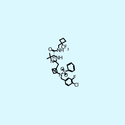 CC1(C)N=C(CC2C3CC2(N(Cc2ccc(Cl)c(F)c2)S(=O)(=O)c2ccccc2)C3)N[C@H]1C(=O)NCC1(C(F)(F)F)CCC1